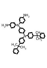 CC(C)(c1ccccc1)c1ccc(N(c2ccc(N(c3ccc(N)cc3)c3ccc(N)cc3)cc2)c2ccc(C(C)(C)c3ccccc3)cc2)cc1